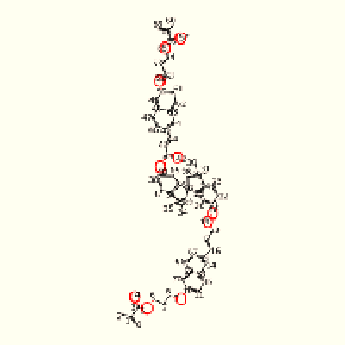 C=C(C)C(=O)OCCCOc1ccc2cc(/C=C/COOc3ccc4c(c3)C3(CC4(C)C)CC(C)(C)c4ccc(OC(=O)/C=C/c5ccc6cc(OCCCOC(=O)C(=C)C)ccc6c5)cc43)ccc2c1